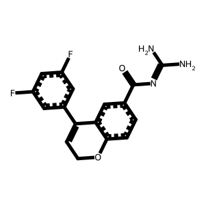 NC(N)=NC(=O)c1ccc2c(c1)C(c1cc(F)cc(F)c1)=CCO2